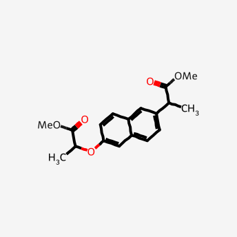 COC(=O)C(C)Oc1ccc2cc(C(C)C(=O)OC)ccc2c1